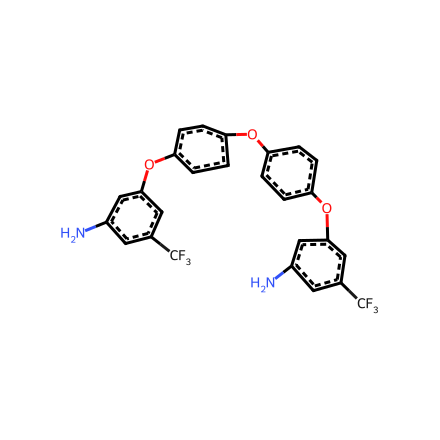 Nc1cc(Oc2ccc(Oc3ccc(Oc4cc(N)cc(C(F)(F)F)c4)cc3)cc2)cc(C(F)(F)F)c1